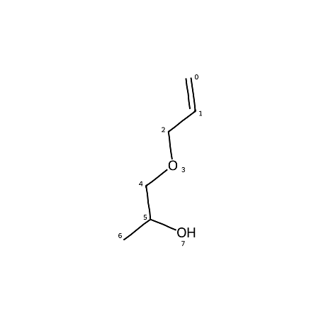 C=CCOCC(C)O